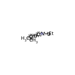 CCOCCC/N=C/c1ccc(OCc2ccc(C)c(C)c2)cc1